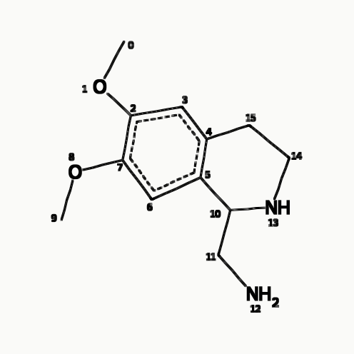 COc1cc2c(cc1OC)C(CN)NCC2